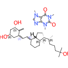 C=C1/C(=C\C=C2/CCC[C@]3(C)[C@@H]([C@H](C)CCCC(C)(C)O)CC[C@@H]23)C[C@@H](O)C[C@@H]1O.Cn1c(=O)c2c(ncn2C)n(C)c1=O